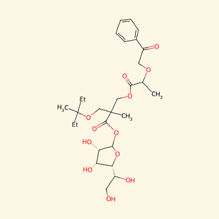 CCC(C)(CC)OCC(C)(COC(=O)C(C)OCC(=O)c1ccccc1)C(=O)OC1O[C@H](C(O)CO)[C@H](O)[C@@H]1O